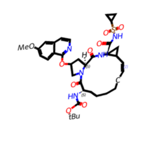 COc1ccc2c(OC3C[C@H]4C(=O)N[C@]5(C(=O)NS(=O)(=O)C6CC6)CC5/C=C\CCCCC[C@H](NC(=O)OC(C)(C)C)C(=O)N4C3)nccc2c1